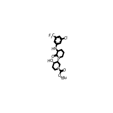 CC(C)(C)OC(=O)N1CC[C@H](O)[C@@H](N2CCCC(Nc3cc(Cl)cc(C(F)(F)F)c3)C2=O)C1